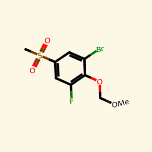 COCOc1c(F)cc(S(C)(=O)=O)cc1Br